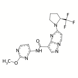 COc1nccc(NC(=O)c2cnn3ccc(N4CCC[C@H]4C(F)(F)F)nc23)n1